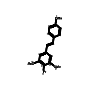 COc1ccc(/C=C/c2cc(OC)c(C(C)C)c(OC)c2)cc1